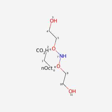 CCCCCCCCCC(=O)O.OCCONOCCO